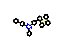 c1ccc(-c2ccc(-c3nc(-c4ccccc4)nc(-c4ccc(-c5cccc6c5-c5ccccc5S6(c5ccccc5)c5ccccc5)cc4)n3)cc2)cc1